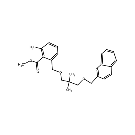 COC(=O)c1c(C)cccc1COCC(C)(C)COCc1ccc2ccccc2n1